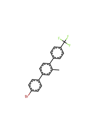 Cc1cc(-c2ccc(Br)cc2)ccc1-c1ccc(C(F)(F)F)cc1